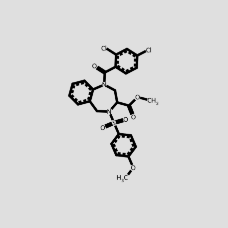 COC(=O)C1CN(C(=O)c2ccc(Cl)cc2Cl)c2ccccc2CN1S(=O)(=O)c1ccc(OC)cc1